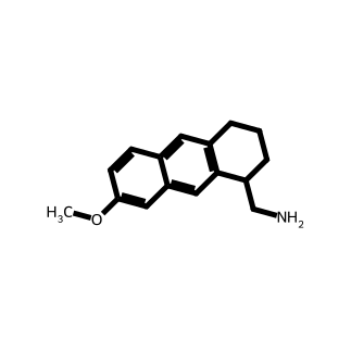 COc1ccc2cc3c(cc2c1)C(CN)CCC3